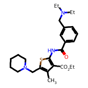 CCOC(=O)c1c(NC(=O)c2cccc(CN(CC)CC)c2)sc(CN2CCCCC2)c1C